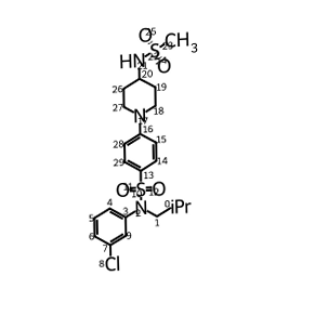 CC(C)CN(c1cccc(Cl)c1)S(=O)(=O)c1ccc(N2CCC(NS(C)(=O)=O)CC2)cc1